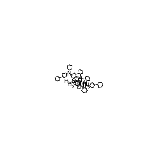 C[Si](C)(C)C1([Si](C)(C)C)c2cc(N(c3ccccc3)c3ccc(-c4ccccc4)cc3)c3ccccc3c2-c2c1c1ccc(N(c3ccccc3)c3ccc(-c4ccccc4)cc3)cc1c1ccccc21